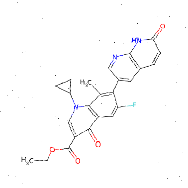 CCOC(=O)c1cn(C2CC2)c2c(C)c(-c3cnc4[nH]c(=O)ccc4c3)c(F)cc2c1=O